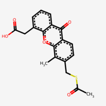 CC(=O)SCc1ccc2c(=O)c3cccc(CC(=O)O)c3oc2c1C